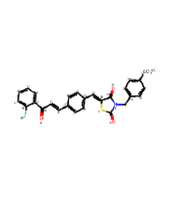 O=C(O)c1ccc(CN2C(=O)S/C(=C\c3ccc(/C=C/C(=O)c4ccccc4F)cc3)C2=O)cc1